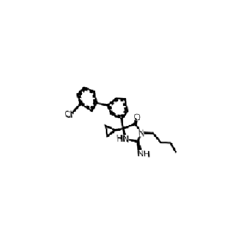 CCCCN1C(=N)NC(c2cccc(-c3cccc(Cl)c3)c2)(C2CC2)C1=O